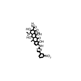 CC1c2ccc(Nc3nc(-c4cccc([N+](=O)[O-])c4)cs3)c(O)c2C(=O)C2=C(O)C3(O)C(=O)C(C(N)=O)=C(O)C(N(C)C)C3C(O)C21